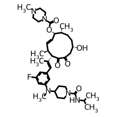 C/C(=C\c1cc(F)cc(N(C)C2CCN(C(=O)NC(C)C)CC2)c1)[C@H]1C(=O)C(=O)C[C@@H](O)CC[C@@H](C)[C@@H](OC(=O)N2CCN(C)CC2)/C=C/[C@@H]1C